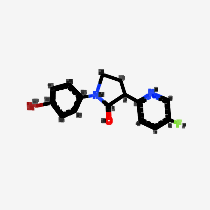 O=C1C(c2ccc(F)cn2)CCN1c1ccc(Br)cc1